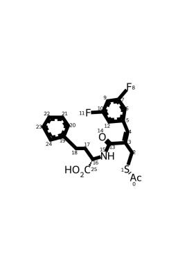 CC(=O)SC/C(=C/c1cc(F)cc(F)c1)C(=O)N[C@@H](CCc1ccccc1)C(=O)O